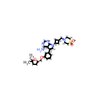 CC1(C)CC[C@H](COc2cccc(-c3cn(C4CC(CN5CCS(=O)(=O)CC5)C4)c4ncnc(N)c34)c2)O1